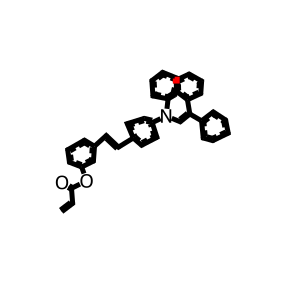 C=CC(=O)Oc1cccc(C=Cc2ccc(N(C=C(c3ccccc3)c3ccccc3)c3ccccc3)cc2)c1